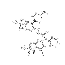 CC1CCN(c2nc(C(C)(C)C)ccc2CNC(=O)C(c2ccccc2)c2ccc(NS(C)(=O)=O)c(F)c2)CC1